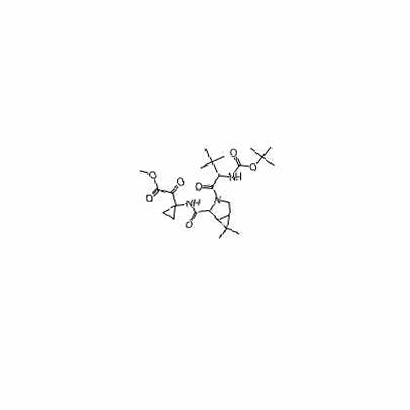 COC(=O)C(=O)C1(NC(=O)C2C3C(CN2C(=O)C(NC(=O)OC(C)(C)C)C(C)(C)C)C3(C)C)CC1